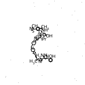 Cc1ncsc1-c1ccc([C@H](C)NC(=O)[C@@H]2C[C@@H](O)CN2C(=O)[C@@H](c2cc(N3CCC(CN4CCC5(CC4)CC(C#CC(C)n4cc(-c6cc(-c7ccccc7O)nnc6N)cn4)C5)CC3)no2)C(C)C)cc1